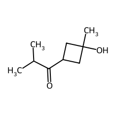 CC(C)C(=O)C1CC(C)(O)C1